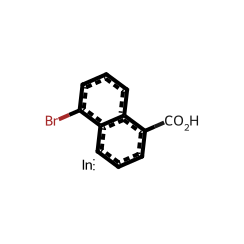 O=C(O)c1cccc2c(Br)cccc12.[In]